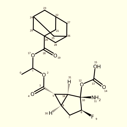 CC(OC(=O)[C@H]1[C@@H]2C[C@H](F)[C@@](N)(OC(=O)O)[C@@H]21)OC(=O)C12CC3CC(CC(C3)C1)C2